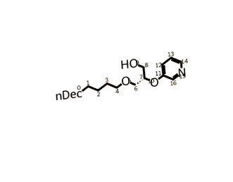 CCCCCCCCCCCCCCOC[C@H](CO)Oc1cccnc1